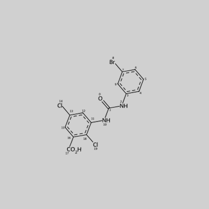 O=C(Nc1cccc(Br)c1)Nc1cc(Cl)cc(C(=O)O)c1Cl